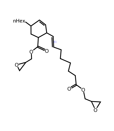 CCCCCCC1C=CC(/C=C/CCCCCC(=O)OCC2CO2)C(C(=O)OCC2CO2)C1